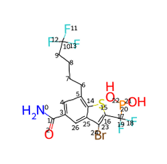 NC(=O)c1cc(CCCCC(F)(F)F)c2sc(C(F)(F)P(O)O)c(Br)c2c1